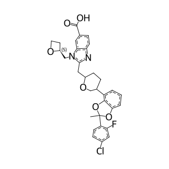 CC1(c2ccc(Cl)cc2F)Oc2cccc(C3CCC(Cc4nc5ccc(C(=O)O)cc5n4C[C@@H]4CCO4)OC3)c2O1